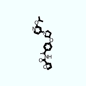 CC(C)Oc1cc(N2CCC(Oc3ccc([C@H](C)NC(=O)c4ccco4)cc3)C2)ccn1